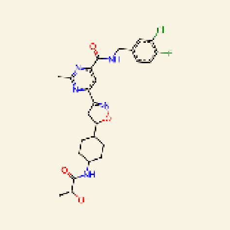 Cc1nc(C(=O)NCc2ccc(F)c(Cl)c2)cc(C2=NOC(C3CCC(NC(=O)[C@H](C)O)CC3)C2)n1